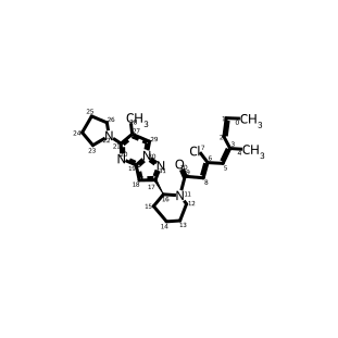 C\C=C/C(C)=C\C(Cl)=C\C(=O)N1CCCC[C@H]1c1cc2nc(N3CCCC3)c(C)cn2n1